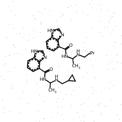 CC(C)CNC(C)NC(=O)c1cccc2[nH]cnc12.CC(NCC1CC1)NC(=O)c1cccc2[nH]cnc12